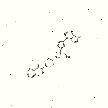 N#CCC1(n2ccc(-c3ncnc4[nH]ccc34)c2)CN(C2CCN(C(=O)Nc3ncccc3F)CC2)C1